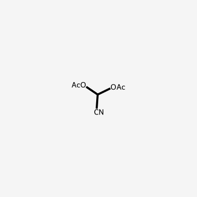 CC(=O)OC(C#N)OC(C)=O